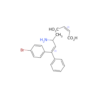 CC(N)/C=C(/c1ccccc1)c1ccc(Br)cc1.O=C(O)/C=C\C(=O)O